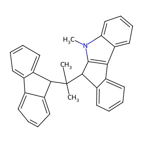 Cn1c2c(c3ccccc31)-c1ccccc1C2C(C)(C)C1c2ccccc2-c2ccccc21